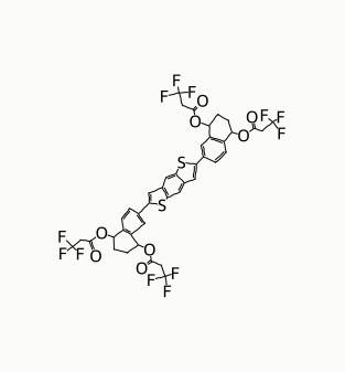 O=C(CC(F)(F)F)OC1CCC(OC(=O)CC(F)(F)F)c2cc(-c3cc4cc5sc(-c6ccc7c(c6)C(OC(=O)CC(F)(F)F)CCC7OC(=O)CC(F)(F)F)cc5cc4s3)ccc21